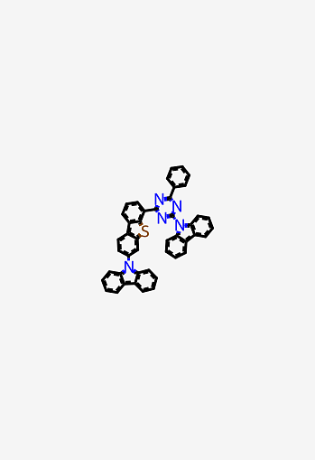 c1ccc(-c2nc(-c3cccc4c3sc3cc(-n5c6ccccc6c6ccccc65)ccc34)nc(-n3c4ccccc4c4ccccc43)n2)cc1